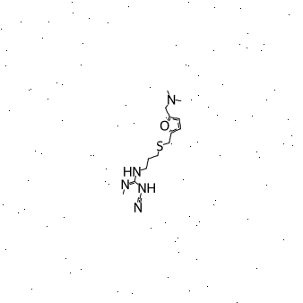 C/N=C(\NC#N)NCCCSCc1ccc(CN(C)C)o1